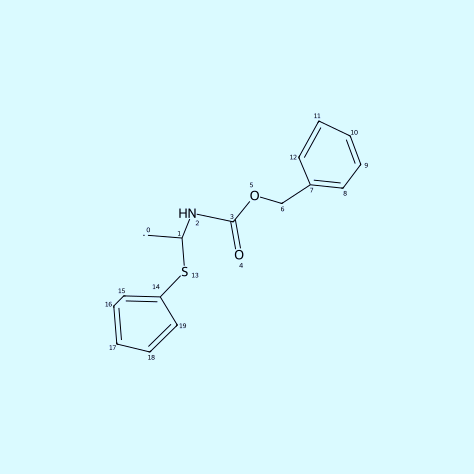 [CH2]C(NC(=O)OCc1ccccc1)Sc1ccccc1